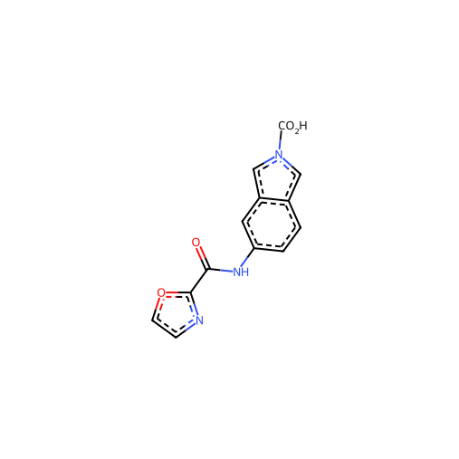 O=C(Nc1ccc2cn(C(=O)O)cc2c1)c1ncco1